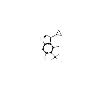 Cc1c2c(cc(N)c1C(C)(C)O)N=CC2C1CC1